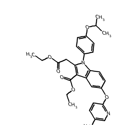 CCOC(=O)Cc1c(C(=O)OCC)c2cc(Oc3ccc(N)cn3)ccc2n1-c1ccc(OC(C)C)cc1